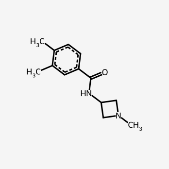 Cc1ccc(C(=O)NC2CN(C)C2)cc1C